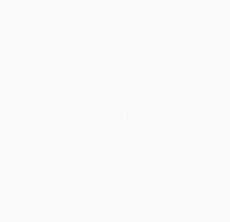 CCCCCCCCCCOC(=O)CCCCCCC1C(=O)CCC1SCC(O)CCCCCCC